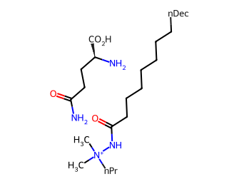 CCCCCCCCCCCCCCCCCC(=O)N[N+](C)(C)CCC.NC(=O)CC[C@H](N)C(=O)O